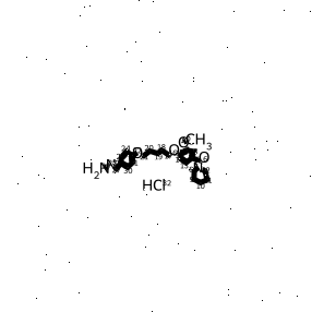 COc1cc(C(=O)N2CCCCC2)ccc1OCCCCCOc1ccc(C=NN)cc1.Cl